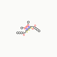 O=C1/C(=C/c2cc3c(s2)c2sc4c5sc(C=C6C(=O)c7cc8cc9ccccc9cc8cc7C6=O)cc5n(C(=O)OCc5ccccc5)c4c2n3C(=O)OCc2ccccc2)Cc2cc3cc4ccccc4cc3cc21